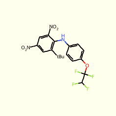 CC(C)(C)c1cc([N+](=O)[O-])cc([N+](=O)[O-])c1Nc1ccc(OC(F)(F)C(F)F)cc1